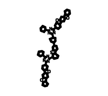 c1ccc(-c2nc(-c3ccc(-c4ccc5c(c4)sc4c(-c6nc(-c7ccccc7)nc(-c7ccc8c(c7)oc7cc9c(cc78)oc7ccccc79)n6)cccc45)cc3)nc(-c3ccc4c(c3)oc3cc5c(cc34)oc3ccccc35)n2)cc1